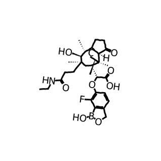 CCNC(=O)CC[C@]1(C)C[C@@H](C(Oc2ccc3c(c2F)B(O)OC3)C(=O)O)[C@@]2(C)[C@H](C)CC[C@]3(CCC(=O)[C@H]32)[C@@H](C)[C@@H]1O